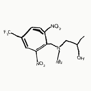 CCCCN(CC(C)O)c1c([N+](=O)[O-])cc(C(F)(F)F)cc1[N+](=O)[O-]